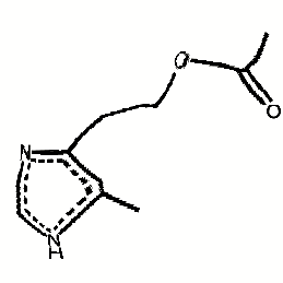 CC(=O)OCCc1nc[nH]c1C